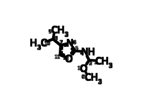 COC(C)Nc1nc(C(C)C)co1